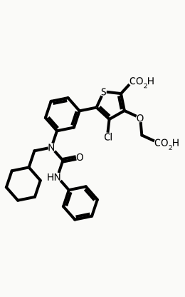 O=C(O)COc1c(C(=O)O)sc(-c2cccc(N(CC3CCCCC3)C(=O)Nc3ccccc3)c2)c1Cl